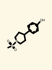 CS(=O)(=O)N1CCC(c2ccc(O)cc2)CC1